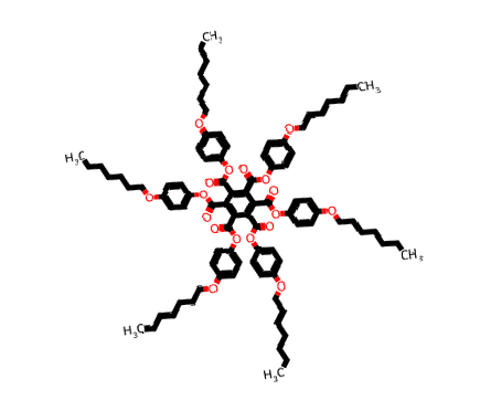 CCCCCCCOc1ccc(OC(=O)c2c(C(=O)Oc3ccc(OCCCCCCC)cc3)c(C(=O)Oc3ccc(OCCCCCCC)cc3)c(C(=O)Oc3ccc(OCCCCCCC)cc3)c(C(=O)Oc3ccc(OCCCCCCC)cc3)c2C(=O)Oc2ccc(OCCCCCCC)cc2)cc1